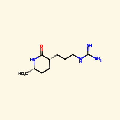 N=C(N)NCCC[C@@H]1CC[C@H](C(=O)O)NC1=O